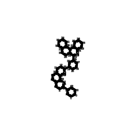 c1ccc(-c2ccc3ccc4ccc(-c5cccc(-c6nc7ccccc7c7c6ccc6ccccc67)c5)nc4c3n2)cc1